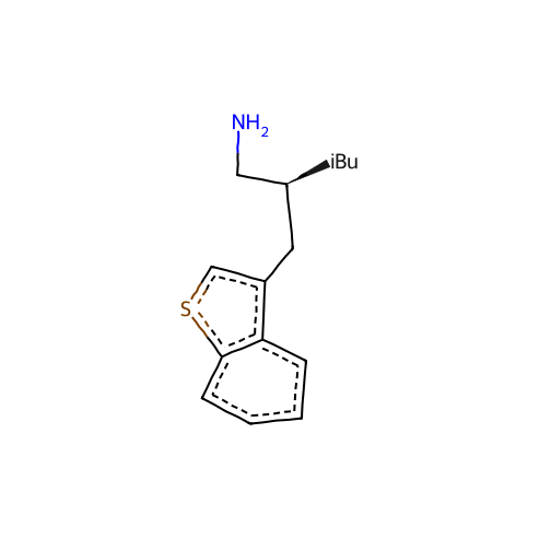 CCC(C)[C@H](CN)Cc1csc2ccccc12